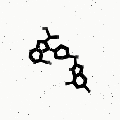 Nc1ncnn2cc(C(=O)O)c(-c3ccc(Nc4nc5cc(F)cc(F)c5[nH]4)cc3)c12